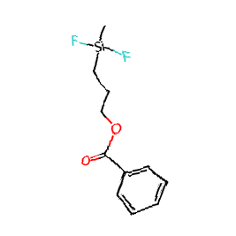 C[Si](F)(F)CCCOC(=O)c1ccccc1